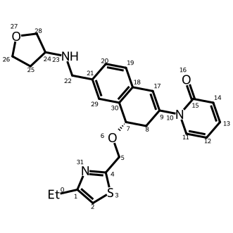 CCc1csc(CO[C@H]2CC(n3ccccc3=O)=Cc3ccc(CNC4CCOC4)cc32)n1